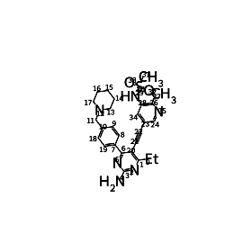 CCc1nc(N)nc(-c2ccc(CN3CCCCC3)cc2)c1C#Cc1cnc(C)c(NS(C)(=O)=O)c1